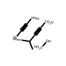 CCC#CCCCCCC.CCCCCC(C)C#CC(=O)O.O=C(O)O